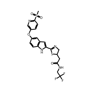 CS(=O)(=O)c1ccc(Oc2ccc3[nH]c(C4=NCC(CC(=O)NCC(F)(F)F)S4)cc3c2)cn1